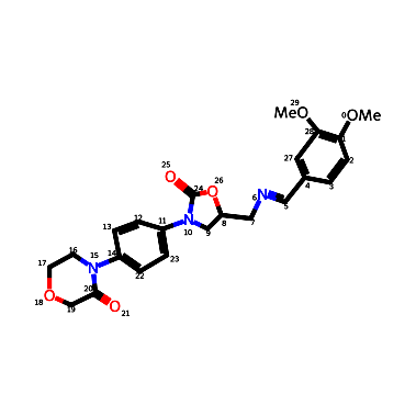 COc1ccc(C=NCC2CN(c3ccc(N4CCOCC4=O)cc3)C(=O)O2)cc1OC